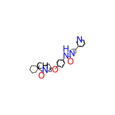 CC1(C(=O)N2CCC(Oc3ccc(NC(=O)N4CC(c5cccnc5)C4)cc3)C2)CCCCC1